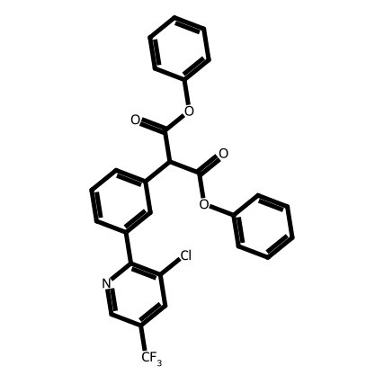 O=C(Oc1ccccc1)C(C(=O)Oc1ccccc1)c1cccc(-c2ncc(C(F)(F)F)cc2Cl)c1